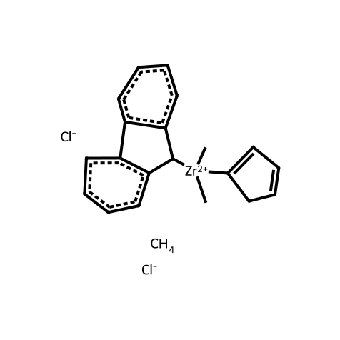 C.[CH3][Zr+2]([CH3])([C]1=CC=CC1)[CH]1c2ccccc2-c2ccccc21.[Cl-].[Cl-]